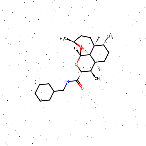 C[C@H]1[C@H](C(=O)NCC2CCCCC2)O[C@@H]2O[C@@]3(C)CC[C@H]4[C@H](C)CC[C@@H]1[C@@]24OO3